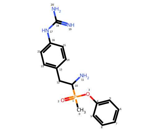 CP(=O)(Oc1ccccc1)C(N)Cc1ccc(NC(=N)N)cc1